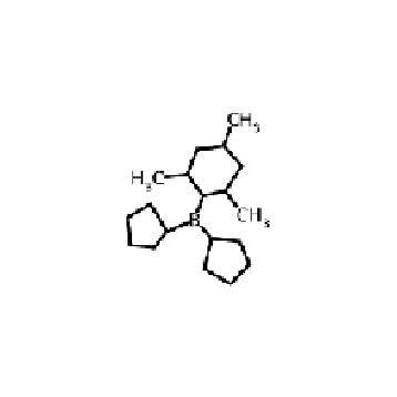 CC1CC(C)C(B(C2CCCC2)C2CCCC2)C(C)C1